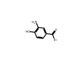 CCC(=O)c1ccc(O)c(N)c1